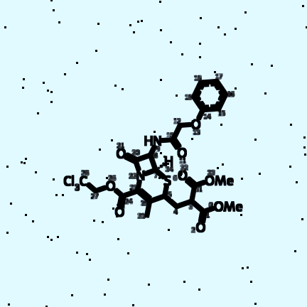 COC(=O)C(CC1S[C@@H]2C(NC(=O)COc3ccccc3)C(=O)N2C(C(=O)OCC(Cl)(Cl)Cl)=C1C)C(=O)OC